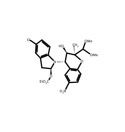 CCOC(=O)O[C@H]1Cc2cc(Cl)ccc2N1[C@H]1c2cc([N+](=O)[O-])ccc2O[C@](C)(C(OC)OC)[C@@H]1O